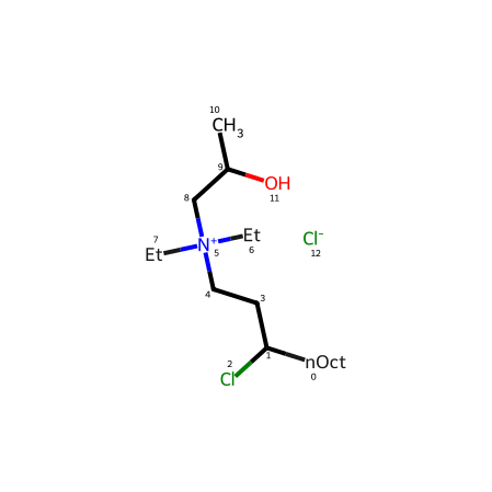 CCCCCCCCC(Cl)CC[N+](CC)(CC)CC(C)O.[Cl-]